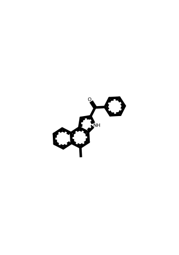 Cc1cc2[nH]c(C(=O)c3ccccc3)cc2c2ccccc12